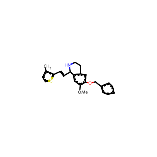 COc1cc2c(cc1OCc1ccccc1)CCNC2C=Cc1sccc1C